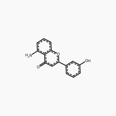 Nc1cccc2oc(-c3cccc(O)c3)cc(=O)c12